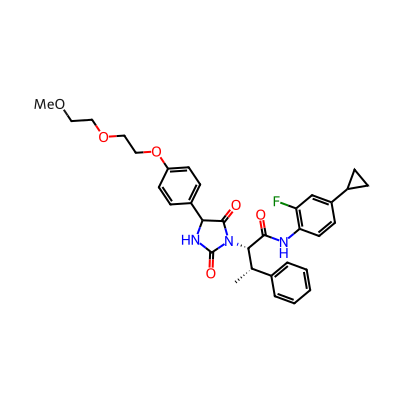 COCCOCCOc1ccc(C2NC(=O)N([C@H](C(=O)Nc3ccc(C4CC4)cc3F)[C@@H](C)c3ccccc3)C2=O)cc1